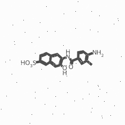 Cc1cc(C(=O)Nc2cc3ccc(S(=O)(=O)O)cc3cc2O)ccc1N